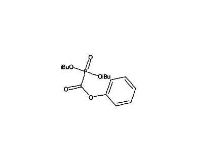 CC(C)COP(=O)(OCC(C)C)C(=O)Oc1ccccc1